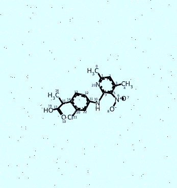 Cc1cc(C)c([N+](=O)[O-])c(Nc2ccc(C(C)C(=O)O)c(Cl)c2)n1